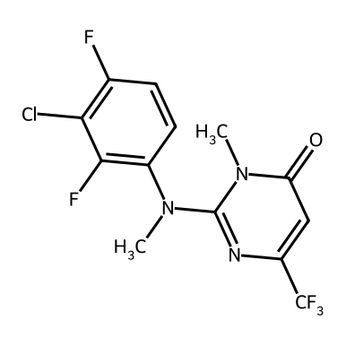 CN(c1ccc(F)c(Cl)c1F)c1nc(C(F)(F)F)cc(=O)n1C